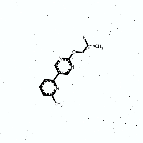 [CH2]c1cccc(-c2cnc(OC[C@@H](C)F)nc2)n1